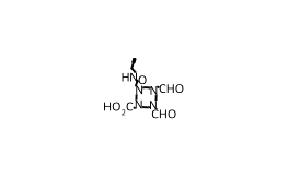 C#CCCNC(=O)CN1CCN(CC=O)CCN(CC=O)CCN(CC(=O)O)CC1